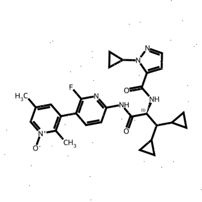 Cc1cc(-c2ccc(NC(=O)[C@@H](NC(=O)c3ccnn3C3CC3)C(C3CC3)C3CC3)nc2F)c(C)[n+]([O-])c1